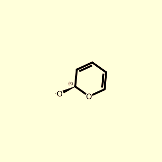 [O][C@H]1C=CC=CO1